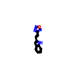 C(=Cc1cc2ccccc2[nH]1)c1nnon1